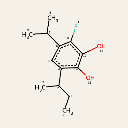 CCC(C)c1cc(C(C)C)c(F)c(O)c1O